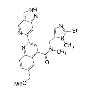 CCc1ncc(CN(C)C(=O)c2cc(-c3cc4n[nH]cc4cn3)nc3ccc(COC)cc23)n1C